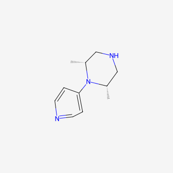 C[C@@H]1CNC[C@H](C)N1c1ccncc1